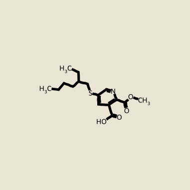 CCCCC(CC)CSc1cnc(C(=O)OC)c(C(=O)O)c1